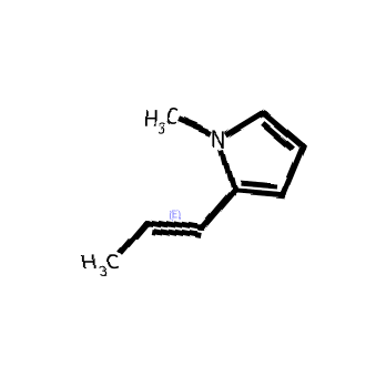 C/C=C/c1cccn1C